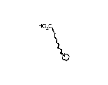 O=C(O)CCCCCCCCCCN1CCCCC1